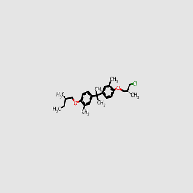 CC[C@@H](C)COc1ccc(C(C)(C)c2ccc(OC[C@@H](C)CCl)c(C)c2)cc1C